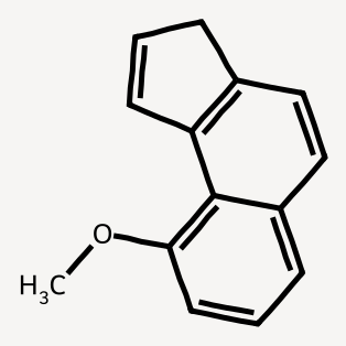 COc1cccc2ccc3c(c12)C=CC3